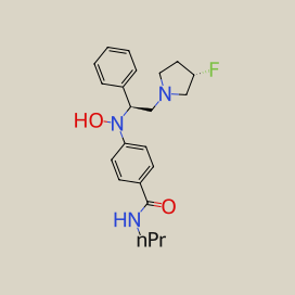 CCCNC(=O)c1ccc(N(O)[C@H](CN2CC[C@H](F)C2)c2ccccc2)cc1